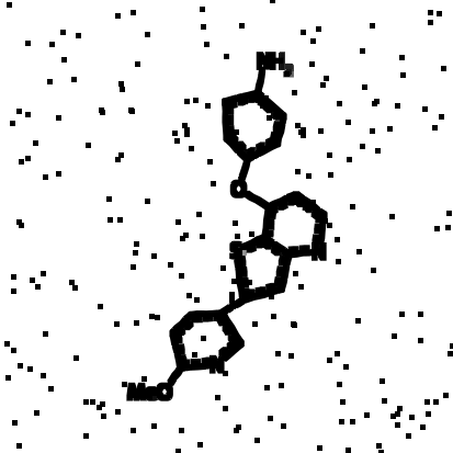 COc1ccc(-c2cc3nccc(Oc4ccc(N)cc4)c3s2)cn1